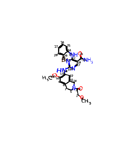 COCC(=O)N1CCc2cc(OC)c(Nc3ncc(C(N)=O)c(Nc4ccccc4Br)n3)cc2C1